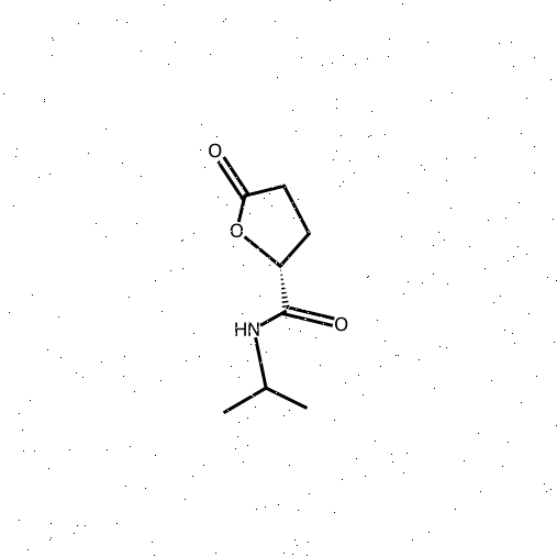 CC(C)NC(=O)[C@H]1CCC(=O)O1